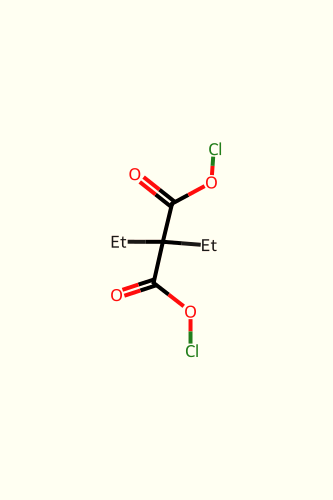 CCC(CC)(C(=O)OCl)C(=O)OCl